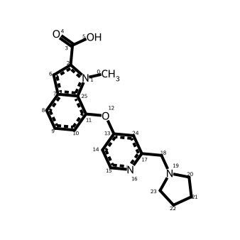 Cn1c(C(=O)O)cc2cccc(Oc3ccnc(CN4CCCC4)c3)c21